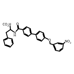 O=C(NC(Cc1ccccc1)C(=O)O)c1ccc(-c2ccc(OCc3cccc([N+](=O)[O-])c3)cc2)cc1